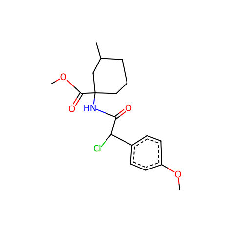 COC(=O)C1(NC(=O)C(Cl)c2ccc(OC)cc2)CCCC(C)C1